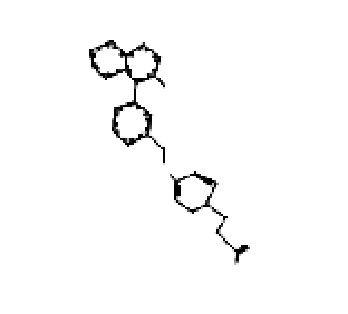 Cc1ccc2ccccc2c1-c1cccc(COC2=CCC(CCC(=O)O)C=C2)c1